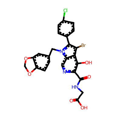 O=C(O)CNC(=O)c1ncc2c(c1O)c(Br)c(-c1ccc(Cl)cc1)n2Cc1ccc2c(c1)OCO2